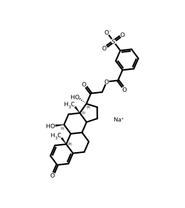 C[C@]12C=CC(=O)C=C1CCC1C2[C@@H](O)C[C@@]2(C)C1CC[C@]2(O)C(=O)COC(=O)c1cccc(S(=O)(=O)[O-])c1.[Na+]